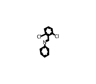 Clc1cccc(Cl)c1/C=N/c1ccccc1